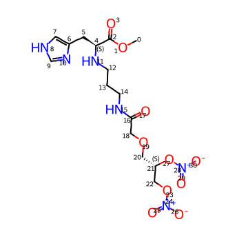 COC(=O)[C@H](Cc1c[nH]cn1)NCCCNC(=O)COC[C@@H](CO[N+](=O)[O-])O[N+](=O)[O-]